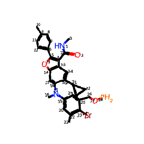 CNC(=O)c1c(-c2ccc(C)cc2)oc2cc(N(C)c3cc(C)c(Br)c(COP)c3)c(C3CC3)cc12